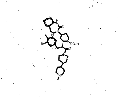 Cc1c(Br)cc(CC(C(=O)N2CCC(C3CCN(C)CC3)CC2)[C@H]2CC(N3CCc4ccccc4NC3=O)CCN2C(=O)O)cc1Br